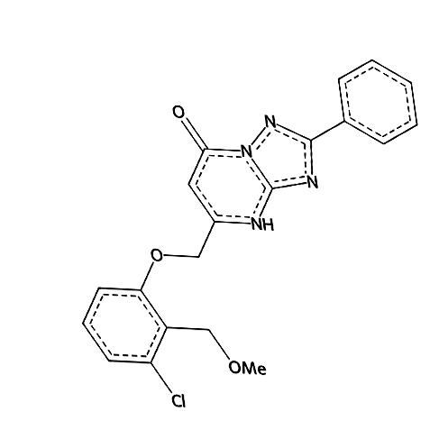 COCc1c(Cl)cccc1OCc1cc(=O)n2nc(-c3ccccc3)nc2[nH]1